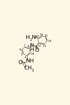 CC(=O)Nc1cccc(NC(=O)c2ccccc2N)c1